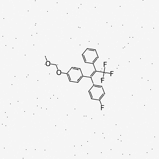 COCOc1ccc(/C(=C(\c2ccccc2)C(F)(F)F)c2ccc(F)cc2)cc1